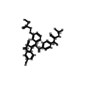 COC(=O)CCc1cccc(C(Nc2ccc(N(C)C(=O)CN(C)C)cc2)=C2C(=O)Nc3cc(F)ccc32)c1